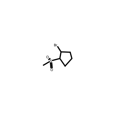 CS(=O)(=O)C1CCCC1Br